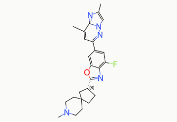 Cc1cn2nc(-c3cc(F)c4nc([C@@H]5CCC6(CCN(C)CC6)C5)oc4c3)cc(C)c2n1